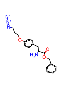 [N-]=[N+]=NCCCOc1ccc(CC(N)C(=O)OCc2ccccc2)cc1